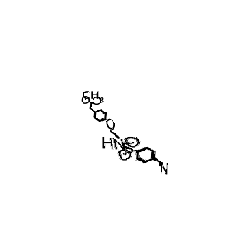 COC(=O)Cc1ccc(OCCNS(=O)(=O)c2ccc(C#N)cc2)cc1